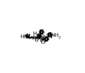 Nc1cccc(-c2ccc(Cl)c(C(=O)Nc3cc(C(=O)NCCCc4c[nH]cn4)nn3-c3ccccc3)c2)n1